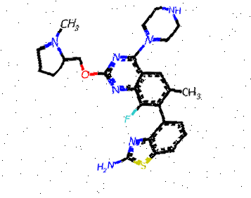 Cc1cc2c(N3CCNCC3)nc(OCC3CCCN3C)nc2c(F)c1-c1cccc2sc(N)nc12